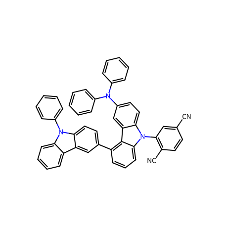 N#Cc1ccc(C#N)c(-n2c3ccc(N(c4ccccc4)c4ccccc4)cc3c3c(-c4ccc5c(c4)c4ccccc4n5-c4ccccc4)cccc32)c1